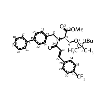 COC(=O)[C@H](CO[Si](C)(C)C(C)(C)C)N(Cc1ccc(-c2ccncc2)cc1)C(=O)/C=C/c1ccc(C(F)(F)F)cc1